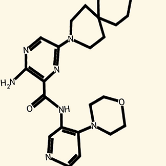 Nc1ncc(N2CCC3(CCNCC3)CC2)nc1C(=O)Nc1cnccc1N1CCOCC1